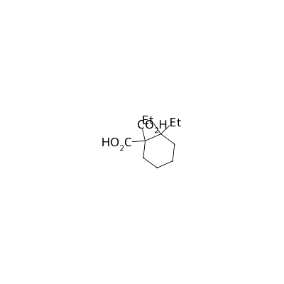 CCC1(CC)CCCCC1(C(=O)O)C(=O)O